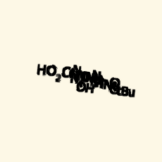 CC(C)(C)OC(=O)NCc1cnc(N2CCN(c3ncc(C(=O)O)cn3)[C@H](CO)C2)nc1